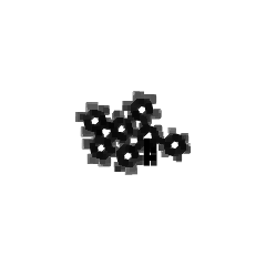 C1=C(c2ccccc2)NC(c2ccccc2)C=C1c1ccccc1-c1ccc2c3ccccc3c3ccccc3c2c1